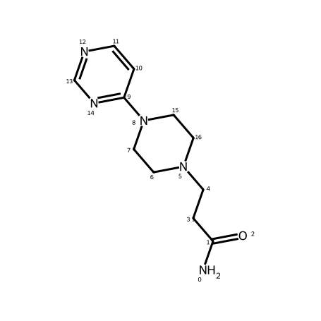 NC(=O)[CH]CN1CCN(c2ccncn2)CC1